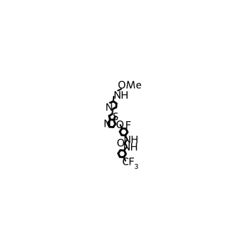 COCCNCc1ccc(-c2cc3nccc(Oc4ccc(NC(=O)Nc5cccc(C(F)(F)F)c5)cc4F)c3s2)nc1